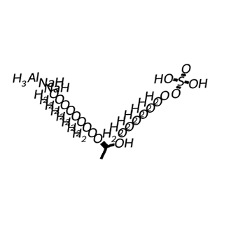 CC(=O)O.O.O.O.O.O.O.O.O.O.O.O.O.O.O.O.O=S(=O)(O)O.[AlH3].[NaH].[NaH]